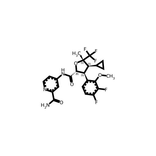 COc1c([C@H]2[C@H](C(=O)Nc3ccnc(C(N)=O)c3)O[C@](C)(C(F)(F)F)[C@H]2C2CC2)ccc(F)c1F